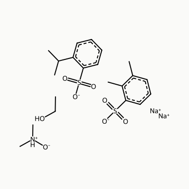 CC(C)c1ccccc1S(=O)(=O)[O-].CCO.C[NH+](C)[O-].Cc1cccc(S(=O)(=O)[O-])c1C.[Na+].[Na+]